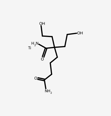 NC(=O)CCCC(CCO)(CCO)C(N)=O.[Ti]